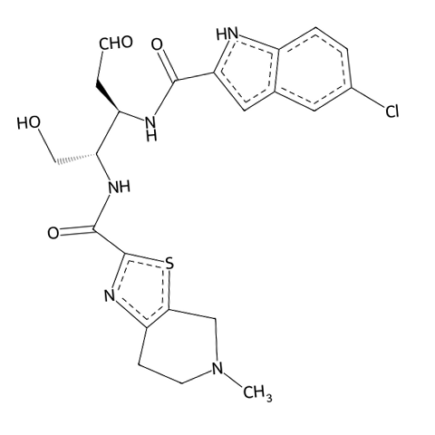 CN1CCc2nc(C(=O)N[C@H](CO)[C@@H](CC=O)NC(=O)c3cc4cc(Cl)ccc4[nH]3)sc2C1